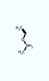 C=CO[SiH2]C